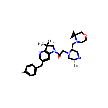 C[C@@H]1CN(CC(=O)N2CC(C)(C)c3ncc(Cc4ccc(F)cc4)cc32)[C@@H](CN2CCOCC23CC3)CN1